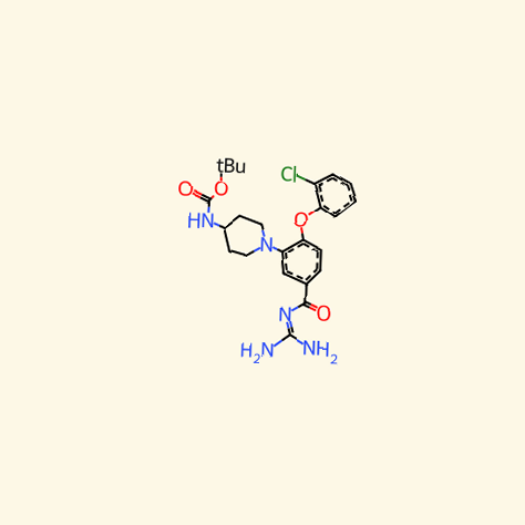 CC(C)(C)OC(=O)NC1CCN(c2cc(C(=O)N=C(N)N)ccc2Oc2ccccc2Cl)CC1